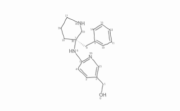 OCc1ccc(N[C@@]2(Cc3ccccc3)CCCNC2)nc1